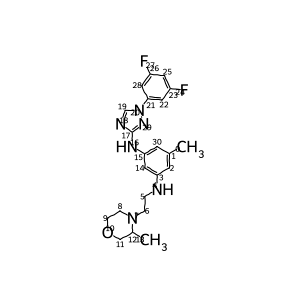 Cc1cc(NCCN2CCOCC2C)cc(Nc2ncn(-c3cc(F)cc(F)c3)n2)c1